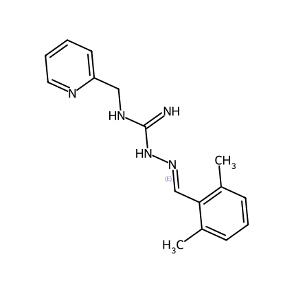 Cc1cccc(C)c1/C=N/NC(=N)NCc1ccccn1